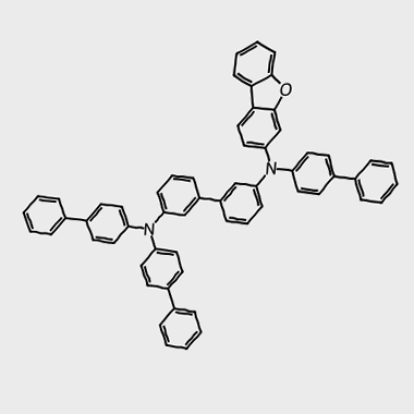 c1ccc(-c2ccc(N(c3ccc(-c4ccccc4)cc3)c3cccc(-c4cccc(N(c5ccc(-c6ccccc6)cc5)c5ccc6c(c5)oc5ccccc56)c4)c3)cc2)cc1